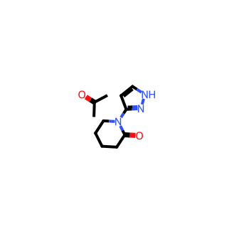 CC(C)=O.O=C1CCCCN1c1cc[nH]n1